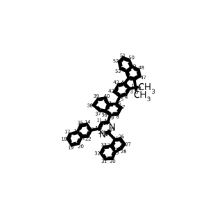 CC1(C)c2cc(-c3ccc(-c4cc(-c5ccc6ccccc6c5)nc(-c5cccc6ccccc56)n4)c4ccccc34)ccc2-c2c1ccc1ccccc21